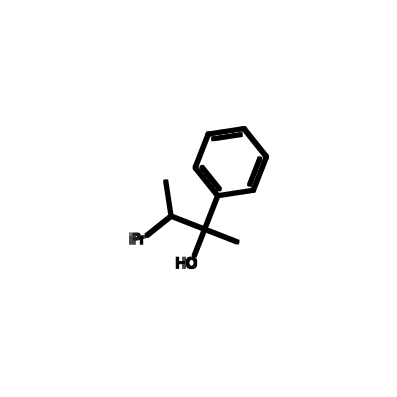 CC(C)C(C)C(C)(O)c1ccccc1